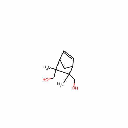 CC1(CO)C2C=CC(C2)C1(C)CO